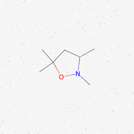 CC1CC(C)(C)ON1C